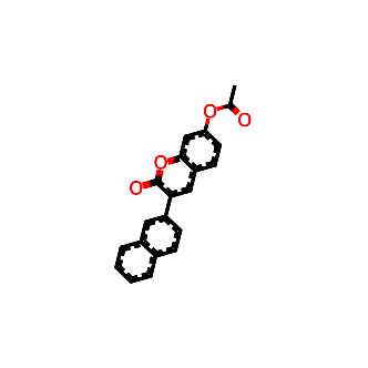 CC(=O)Oc1ccc2cc(-c3ccc4ccccc4c3)c(=O)oc2c1